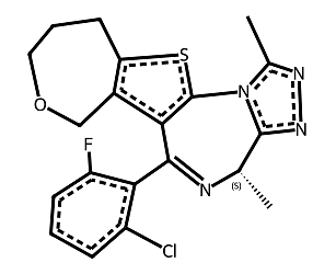 Cc1nnc2n1-c1sc3c(c1C(c1c(F)cccc1Cl)=N[C@H]2C)COCCC3